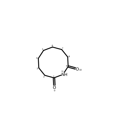 O=C1CCCCCCCC(=O)N1